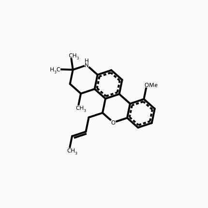 CC=CCC1Oc2cccc(OC)c2-c2ccc3c(c21)C(C)CC(C)(C)N3